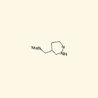 CNCC1CC[N]NC1